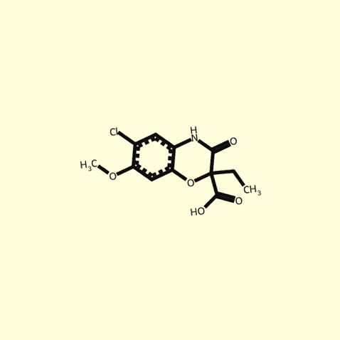 CCC1(C(=O)O)Oc2cc(OC)c(Cl)cc2NC1=O